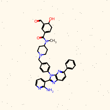 CN(C(=O)C1=CCC(O)C(C=O)=C1)C1CCN(Cc2ccc(-n3c(-c4cccnc4N)nc4ccc(-c5ccccc5)nc43)cc2)CC1